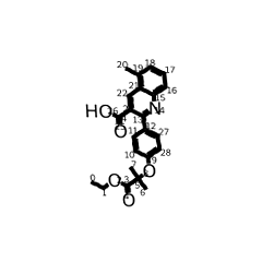 CCOC(=O)C(C)(C)Oc1ccc(-c2nc3cccc(C)c3cc2C(=O)O)cc1